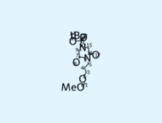 COCOCCCN1C(=O)CN(C(=O)OC(C)(C)C)CC1=O